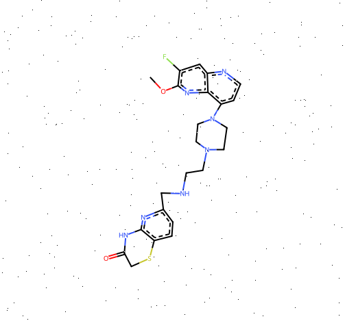 COc1nc2c(N3CCN(CCNCc4ccc5c(n4)NC(=O)CS5)CC3)ccnc2cc1F